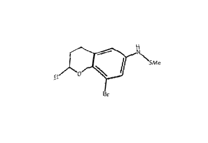 CCC1CCc2cc(NSC)cc(Br)c2O1